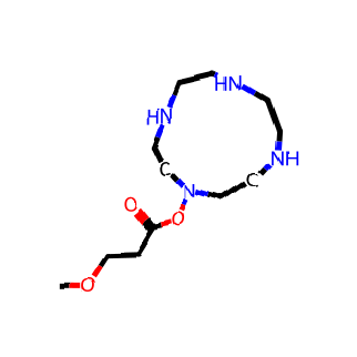 COCCC(=O)ON1CCNCCNCCNCC1